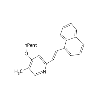 CCCCCOc1cc(C=Cc2cccc3ccccc23)ncc1C